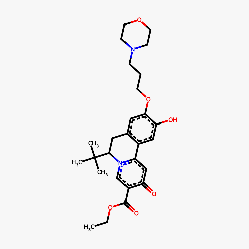 CCOC(=O)c1cn2c(cc1=O)-c1cc(O)c(OCCCN3CCOCC3)cc1CC2C(C)(C)C